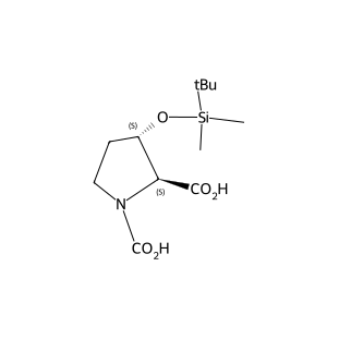 CC(C)(C)[Si](C)(C)O[C@H]1CCN(C(=O)O)[C@@H]1C(=O)O